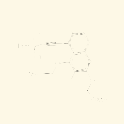 COCOc1cc2ccc(F)c(C#C[Si](C(C)C)(C(C)C)C(C)C)c2c(OCOC)c1F